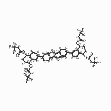 O=C(CC(F)(F)F)OC1CCC(OC(=O)CC(F)(F)F)c2cc(-c3ccc4c(c3)sc3c5ccc(-c6ccc7c(c6)C(OC(=O)CC(F)(F)F)CCC7OC(=O)CC(F)(F)F)cc5sc43)ccc21